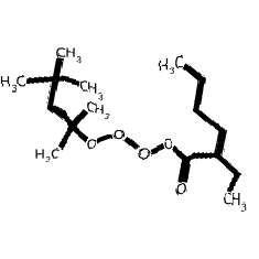 CCCCC(CC)C(=O)OOOOC(C)(C)CC(C)(C)C